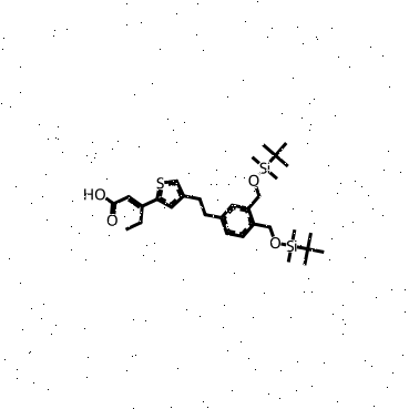 CC/C(=C\C(=O)O)c1cc(CCc2ccc(CO[Si](C)(C)C(C)(C)C)c(CO[Si](C)(C)C(C)(C)C)c2)cs1